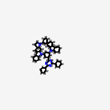 c1ccc(-c2nc(-c3ccccc3)nc(-c3cc(-n4c5ccccc5c5ccccc54)cc(-n4c5ccccc5c5cc6ccn(-c7ccccc7)c6cc54)c3)n2)cc1